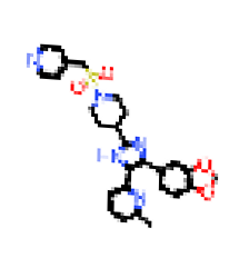 Cc1cccc(-c2[nH]c(C3CCN(S(=O)(=O)Cc4ccncc4)CC3)nc2-c2ccc3c(c2)OCO3)n1